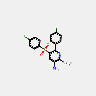 Nc1cc(S(=O)(=O)c2ccc(F)cc2)c(-c2ccc(F)cc2)nc1C(=O)O